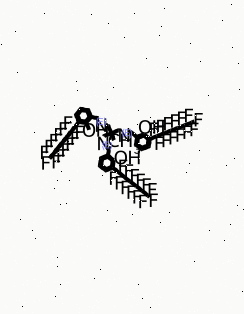 CC(C/N=C/c1cccc(C(F)(F)C(F)(F)C(F)(F)C(F)(F)C(F)(F)C(F)(F)F)c1O)(C/N=C/c1cccc(C(F)(F)C(F)(F)C(F)(F)C(F)(F)C(F)(F)C(F)(F)F)c1O)C/N=C/c1cccc(C(F)(F)C(F)(F)C(F)(F)C(F)(F)C(F)(F)C(F)(F)F)c1O